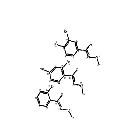 CO/N=C(\C)c1ccc(Br)c(Br)c1.CO/N=C(\C)c1ccc(F)cc1Br.CO/N=C(\C)c1ccccc1Br